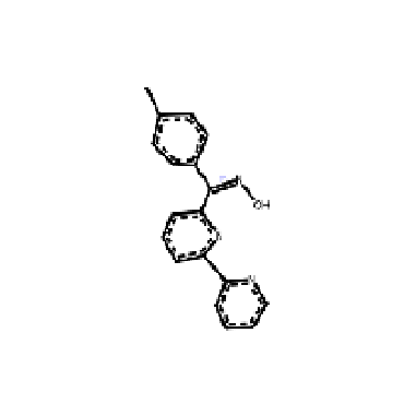 Cc1ccc(/C(=N/O)c2cccc(-c3ccccn3)n2)cc1